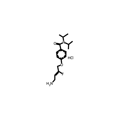 CC(C)N(C(=O)c1ccc(OC/C(F)=C/CN)cc1)C(C)C.Cl